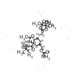 CC(=O)NC1(C(=O)NC(C)(C)C)C[C@H](CCB2OC(C)(C)C(C)(C)O2)C[C@@H](COC(N)=O)C1